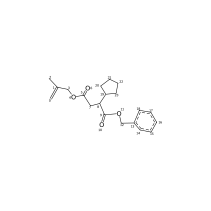 C=C(C)COC(=O)CC(C(=O)OCc1ccccc1)C1CCCC1